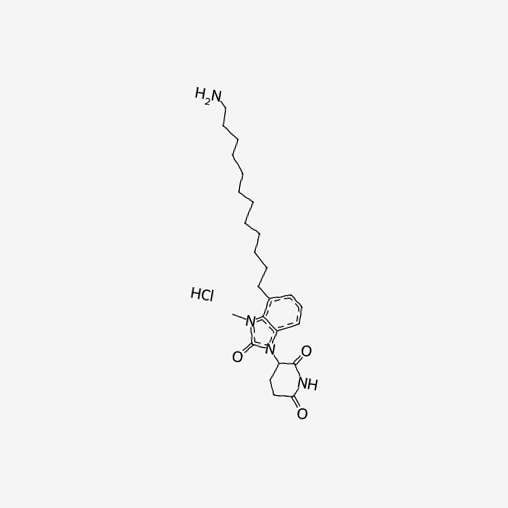 Cl.Cn1c(=O)n(C2CCC(=O)NC2=O)c2cccc(CCCCCCCCCCCCN)c21